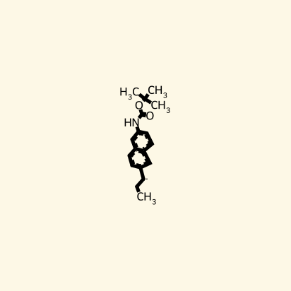 CC[CH]c1ccc2cc(NC(=O)OC(C)(C)C)ccc2c1